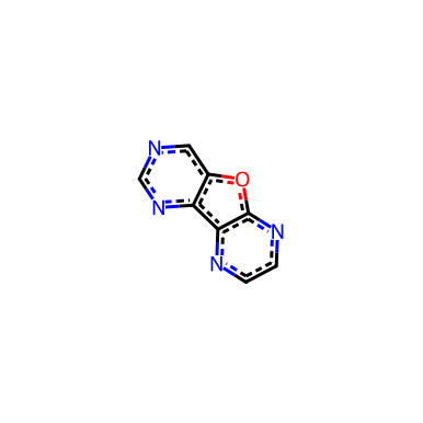 c1cnc2c(n1)oc1cncnc12